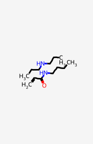 C=CC(=O)NCCCC.CCCNCCC